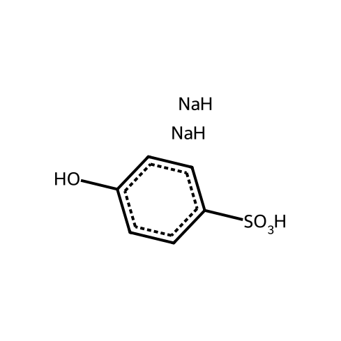 O=S(=O)(O)c1ccc(O)cc1.[NaH].[NaH]